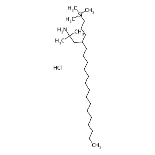 CCCCCCCCCCCCCCCC(CCC[Si](C)(C)C)CC(C)(C)N.Cl